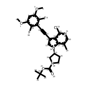 COc1cc(OC)c(F)c(C#Cc2cn([C@H]3CCN(C(=O)OC(C)(C)C)C3)c3c(C)cnc(Cl)c23)c1F